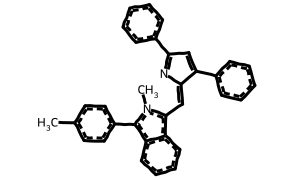 Cc1ccc(-c2c3ccccc3c(/C=C3\N=C(c4ccccc4)C=C3c3ccccc3)n2C)cc1